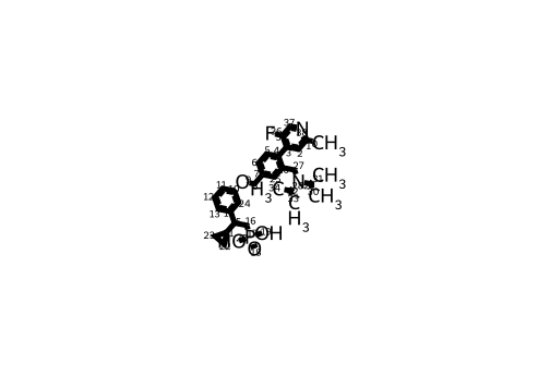 Cc1cc(-c2ccc(COc3cccc(C(CP(=O)(O)O)C4CC4)c3)cc2CN(C(C)C)C(C)C)c(F)cn1